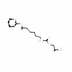 NC(=O)COC(=O)NCCCC[CH]C(=O)Nc1ccccn1